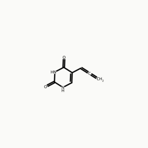 C=C=Cc1c[nH]c(=O)[nH]c1=O